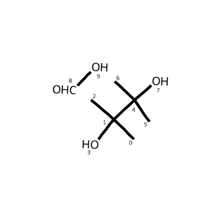 CC(C)(O)C(C)(C)O.O=CO